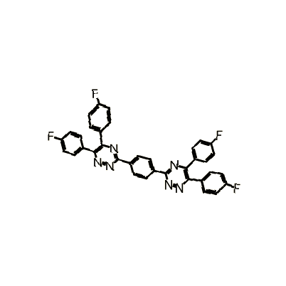 Fc1ccc(-c2nnc(-c3ccc(-c4nnc(-c5ccc(F)cc5)c(-c5ccc(F)cc5)n4)cc3)nc2-c2ccc(F)cc2)cc1